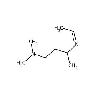 C/C=N\C(C)CCN(C)C